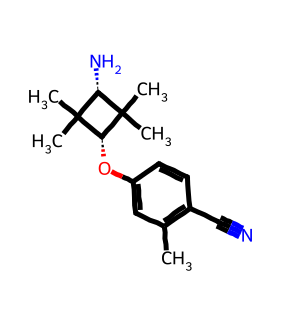 Cc1cc(O[C@H]2C(C)(C)[C@@H](N)C2(C)C)ccc1C#N